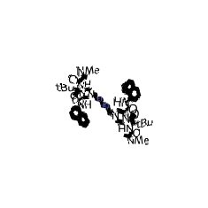 CN[C@@H](C)C(=O)N[C@H](C(=O)N1CCN(C/C=C/C=C/CN2CCN(C(=O)[C@@H](NC(=O)[C@H](C)NC)C(C)(C)C)[C@H](C(=O)N[C@@H]3CCCc4ccccc43)C2)C[C@H]1C(=O)N[C@@H]1CCCc2ccccc21)C(C)(C)C